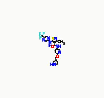 Cc1nsc(Nc2cnc(C(F)(F)F)cn2)c1C(=O)Nc1ccc(OC[C@H]2CCNC2)nc1